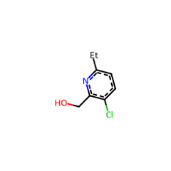 CCc1ccc(Cl)c(CO)n1